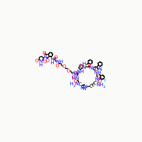 CC(C)CC1NC(=O)[C@@H](C(=O)NCCOCCOCCC(=O)NCC(=O)Nc2cccc3c2C(=O)N(C2CCC(=O)NC2=O)C3=O)NC(=O)[C@@H](N)Cc2cn(nn2)CCCC[C@@H](C(N)=O)NC(=O)[C@@H](Cc2ccc(F)cc2)NC(=O)[C@@H](Cc2cn(C)c3ccccc23)NC(=O)[C@@H](Cc2ccccc2)NC1=O